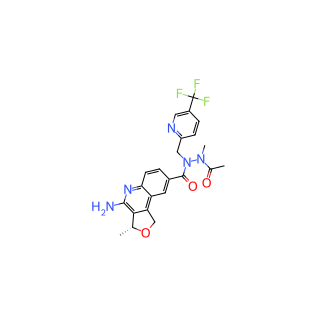 CC(=O)N(C)N(Cc1ccc(C(F)(F)F)cn1)C(=O)c1ccc2nc(N)c3c(c2c1)CO[C@@H]3C